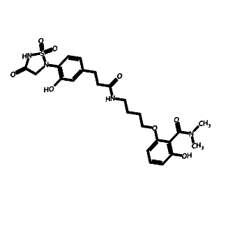 CN(C)C(=O)c1c(O)cccc1OCCCCNC(=O)CCc1ccc(N2CC(=O)NS2(=O)=O)c(O)c1